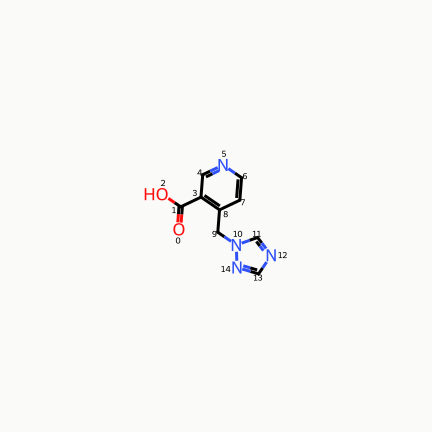 O=C(O)c1cnccc1Cn1cncn1